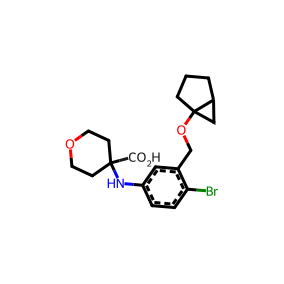 O=C(O)C1(Nc2ccc(Br)c(COC34CCCC3C4)c2)CCOCC1